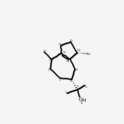 CC1CC[C@@H](C(C)(C)O)CC2=C1CC[C@@H]2C